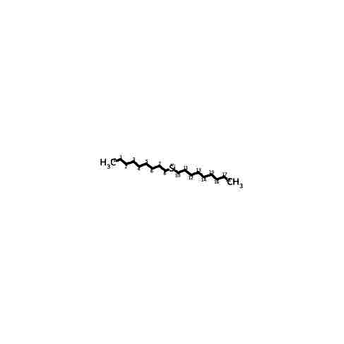 CCCCCCCCC[Si]CCCCCCCCC